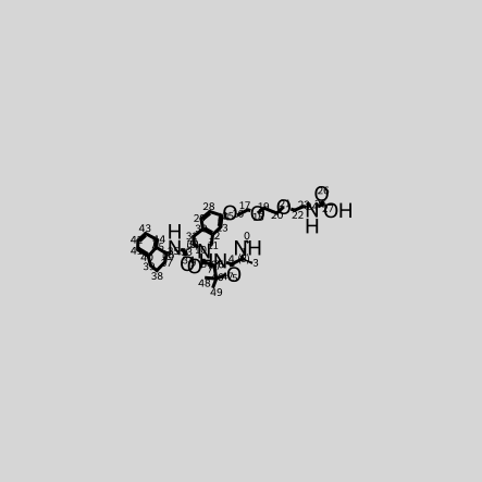 CN[C@@H](C)C(=O)N[C@H](C(=O)N1Cc2cc(OCCOCCOCCNC(=O)O)ccc2C[C@H]1C(=O)N[C@@H]1CCCc2ccccc21)C(C)(C)C